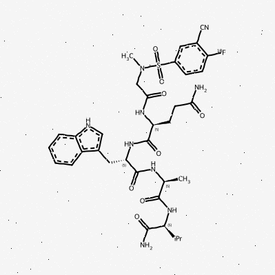 CC(C)[C@H](NC(=O)[C@H](C)NC(=O)[C@H](Cc1c[nH]c2ccccc12)NC(=O)[C@H](CCC(N)=O)NC(=O)CN(C)S(=O)(=O)c1ccc([18F])c(C#N)c1)C(N)=O